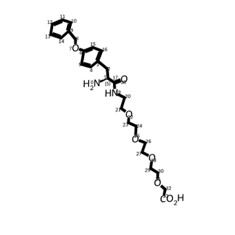 N[C@@H](Cc1ccc(OCc2ccccc2)cc1)C(=O)NCCOCCOCCOCCOCC(=O)O